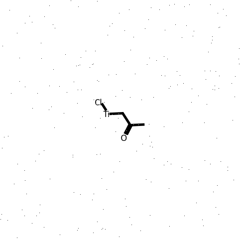 CC(=O)[CH2][Ti][Cl]